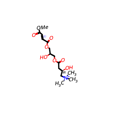 COC(=O)/C=C/C(=O)OCC(O)COC(=O)C[C@@H](O)C[N+](C)(C)C